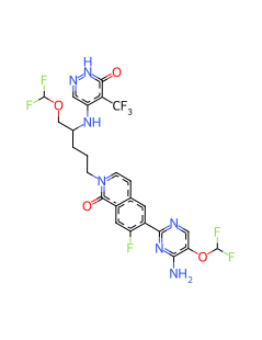 Nc1nc(-c2cc3ccn(CCCC(COC(F)F)Nc4cn[nH]c(=O)c4C(F)(F)F)c(=O)c3cc2F)ncc1OC(F)F